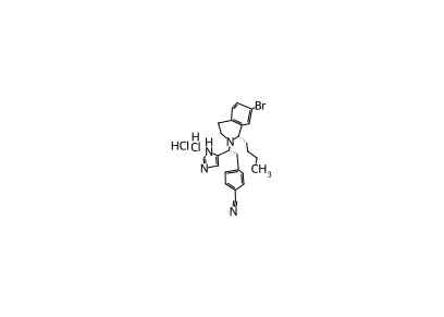 CCCC[C@H]1c2cc(Br)ccc2CCN1[C@H](Cc1ccc(C#N)cc1)c1cnc[nH]1.Cl.Cl